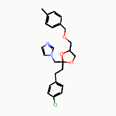 Cc1ccc(COCC2COC(CCc3ccc(Cl)cc3)(Cn3ccnc3)O2)cc1